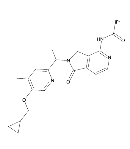 Cc1cc(C(C)N2Cc3c(ccnc3NC(=O)C(C)C)C2=O)ncc1OCC1CC1